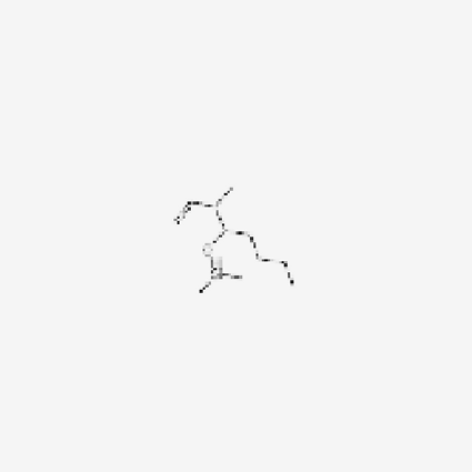 C=CC(C)C(CCCC)O[SiH](C)C